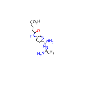 C/C(N)=N/N=C(\N)c1ccc(NC(=O)CCCC(=O)O)cn1